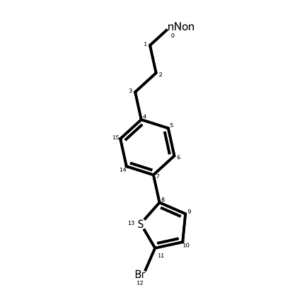 CCCCCCCCCCCCc1ccc(-c2ccc(Br)s2)cc1